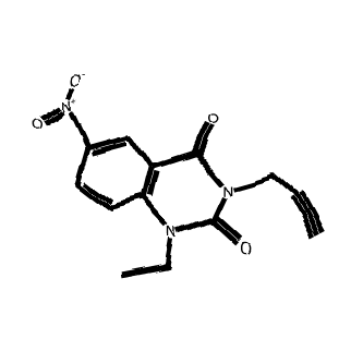 C#CCn1c(=O)c2cc([N+](=O)[O-])ccc2n(CC)c1=O